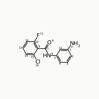 Nc1cccc(NC(=O)c2c(F)cccc2Cl)c1